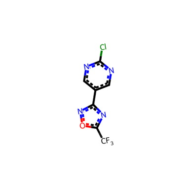 FC(F)(F)c1nc(-c2cnc(Cl)nc2)no1